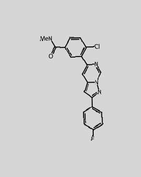 CNC(=O)c1ccc(Cl)c(-c2cc3cc(-c4ccc(F)cc4)nn3cn2)c1